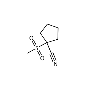 CS(=O)(=O)C1(C#N)CCCC1